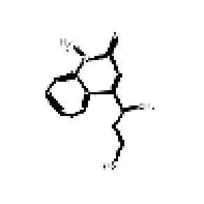 CCCC(C)c1cc(=O)n(C)c2ccccc12